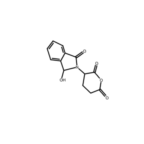 O=C1CCC(N2C(=O)c3ccccc3C2O)C(=O)O1